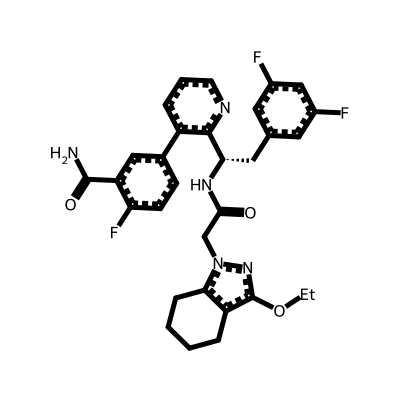 CCOc1nn(CC(=O)N[C@@H](Cc2cc(F)cc(F)c2)c2ncccc2-c2ccc(F)c(C(N)=O)c2)c2c1CCCC2